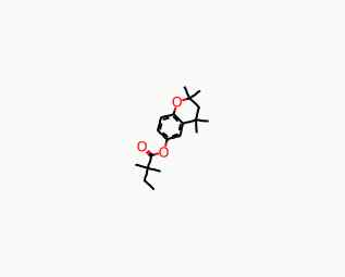 CCC(C)(C)C(=O)Oc1ccc2c(c1)C(C)(C)CC(C)(C)O2